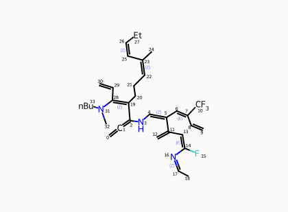 C=C=C(N/C=C(/C=C(\C=C)C(F)(F)F)C(=C)/C=C(F)\N=C/C)/C(CC/C=C(C)\C=C/CC)=C(/C=C)N(C)CCCC